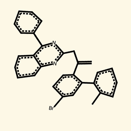 C=C(Cc1nc(-c2ccccc2)c2ccccc2n1)c1ccc(Br)cc1-c1ccccc1C